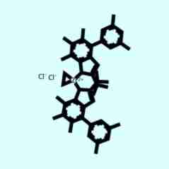 Cc1cc(C)cc(-c2c(C)c(C)c(C)c3c2C=C(C(C)C)[CH]3[Zr+2]2([CH]3C(C(C)C)=Cc4c(-c5cc(C)cc(C)c5)c(C)c(C)c(C)c43)[CH2][CH2]2)c1.[Cl-].[Cl-]